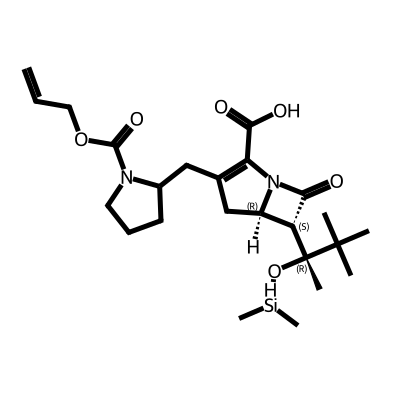 C=CCOC(=O)N1CCCC1CC1=C(C(=O)O)N2C(=O)[C@H]([C@@](C)(O[SiH](C)C)C(C)(C)C)[C@H]2C1